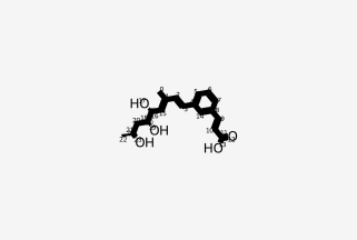 CC(C=Cc1cccc(C=CC(=O)O)c1)=C[C@H](O)[C@@H](O)C[C@H](C)O